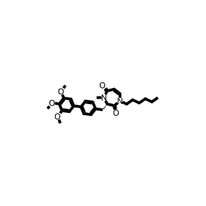 CCCCCCN1C=CC(=O)N(C)[C@@H](Cc2ccc(-c3cc(OC)c(OC)c(OC)c3)cc2)C1=O